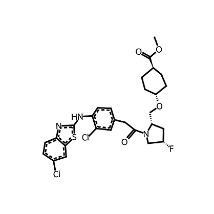 COC(=O)[C@H]1CC[C@H](OC[C@@H]2C[C@H](F)CN2C(=O)Cc2ccc(Nc3nc4ccc(Cl)cc4s3)c(Cl)c2)CC1